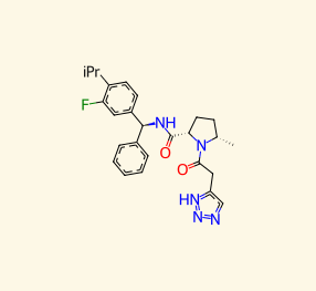 CC(C)c1ccc([C@@H](NC(=O)[C@@H]2CC[C@H](C)N2C(=O)Cc2cnn[nH]2)c2ccccc2)cc1F